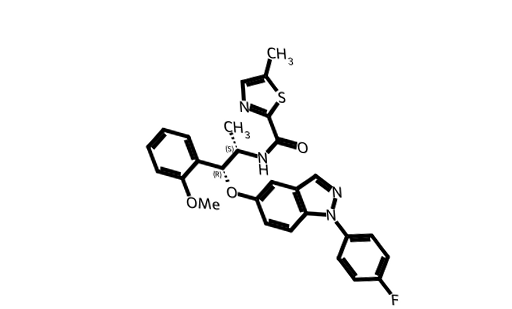 COc1ccccc1[C@@H](Oc1ccc2c(cnn2-c2ccc(F)cc2)c1)[C@H](C)NC(=O)c1ncc(C)s1